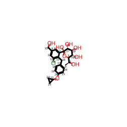 C[C@H](O)[C@H]1O[C@](O)(c2cc(CO)cc(Cl)c2Cc2ccc(OC3CC3)cc2)[C@H](O)[C@@H](O)[C@@H]1O